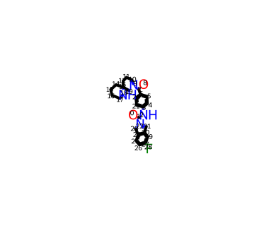 O=C(Nc1ccc(C(=O)N2CCCC3(CCCCN3)C2)cc1)N1Cc2ccc(F)cc2C1